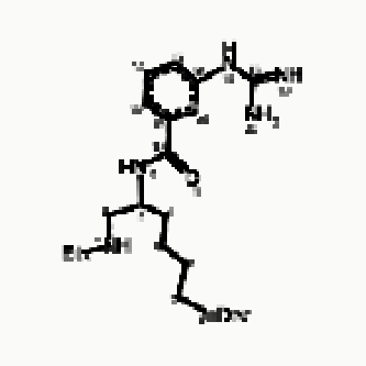 [CH2]CNCC(CCCCCCCCCCCCCC)NC(=O)c1cccc(NC(=N)N)c1